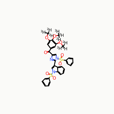 [2H]C([2H])([2H])Oc1cc(C(=O)c2cn(S(=O)(=O)c3ccccc3)c(-c3cn(S(=O)(=O)c4ccccc4)c4ccccc34)n2)cc(OC([2H])([2H])[2H])c1OC([2H])([2H])[2H]